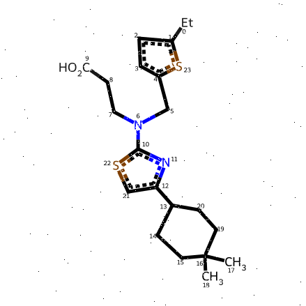 CCc1ccc(CN(CCC(=O)O)c2nc(C3CCC(C)(C)CC3)cs2)s1